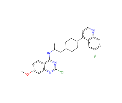 COc1ccc2c(NC(C)CC3CCC(c4ccnc5ccc(F)cc45)CC3)nc(Cl)nc2c1